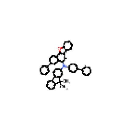 CC1(C)c2ccccc2-c2ccc(N(c3ccc(-c4ccccc4)cc3)c3cc4c5ccccc5oc4c4ccc(-c5ccccc5)cc34)cc21